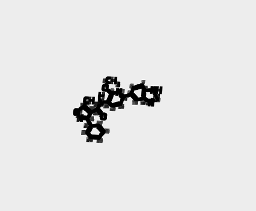 COc1nc(-c2ccc3[nH]nnc3c2)ccc1NC(=O)c1c(-c2ccccc2)noc1C